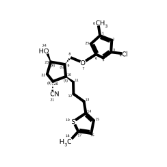 Cc1cc(Cl)cc(OC[C@@H]2[C@@H](CCCc3ccc(C)s3)[C@H](C#N)C[C@H]2O)c1